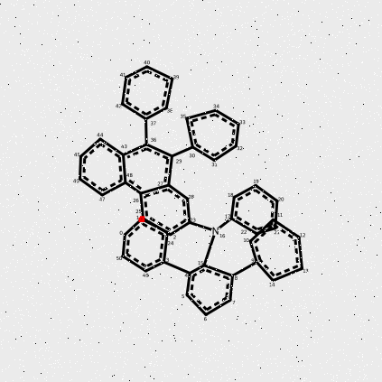 c1ccc(-c2cccc(-c3ccccc3)c2N(c2ccccc2)c2ccc3c(c2)c(-c2ccccc2)c(-c2ccccc2)c2ccccc23)cc1